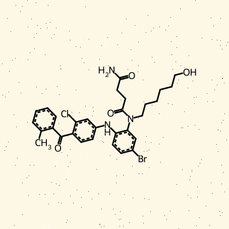 Cc1ccccc1C(=O)c1ccc(Nc2ccc(Br)cc2N(CCCCCCO)C(=O)CCC(N)=O)cc1Cl